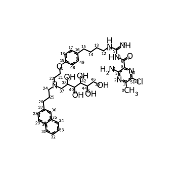 Cc1nc(N)c(C(=O)NC(=N)NCCCCc2ccc(OCCN(CCCc3ccc4ccccc4c3)CC(O)C(O)C(O)C(O)CO)cc2)nc1Cl